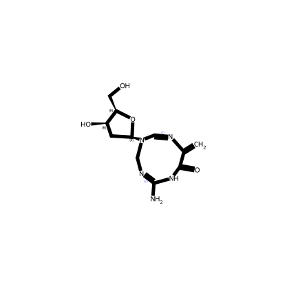 C=C1/N=C\N([C@H]2C[C@@H](O)[C@@H](CO)O2)C/N=C(/N)NC1=O